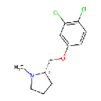 CN1CCC[C@H]1COc1ccc(Cl)c(Cl)c1